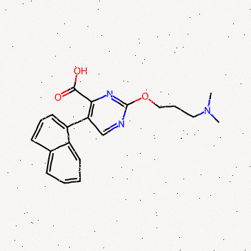 CN(C)CCCOc1ncc(-c2cccc3ccccc23)c(C(=O)O)n1